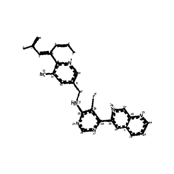 C=C(C)/C=C(\C=C/C)c1ncc(CNc2ncnc(-c3cc4cccnc4cn3)c2F)cc1C#N